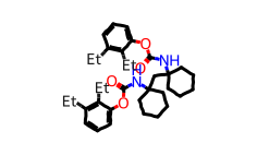 CCc1cccc(OC(=O)NC2(CC3(NC(=O)Oc4cccc(CC)c4CC)CCCCC3)CCCCC2)c1CC